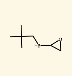 CC(C)(C)CBC1CO1